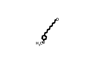 COc1ccc(C=CC=CC=CC=CC=O)cc1